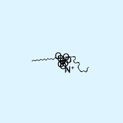 CC/C=C\C/C=C\C/C=C\C/C=C\C/C=C\C/C=C\CCC(=O)O[C@H](COC(=O)CCCCCCCCCCCCCCC)COP(=O)([O-])OCC[N+](C)(C)C